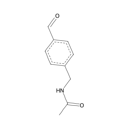 CC(=O)NCc1ccc(C=O)cc1